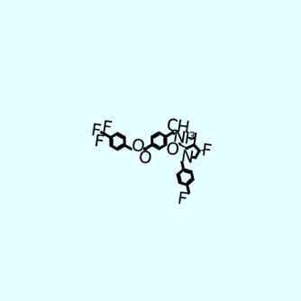 C[C@H](NC(=O)[C@H]1C[C@H](F)CN1Cc1ccc(CF)cc1)c1ccc(C(=O)OCc2ccc(C(F)(F)F)cc2)cc1